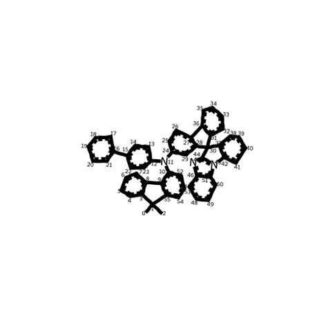 CC1(C)c2ccccc2-c2c(N(c3ccc(-c4ccccc4)cc3)c3ccc4c(c3)C3(c5ccccc5-4)c4ccccc4-n4c3nc3ccccc34)cccc21